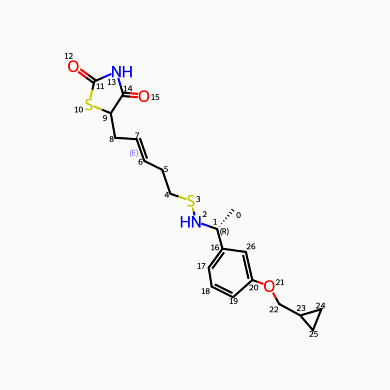 C[C@@H](NSCC/C=C/CC1SC(=O)NC1=O)c1cccc(OCC2CC2)c1